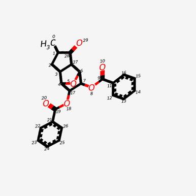 CC1CC2C3OC(C(OC(=O)c4ccccc4)C3OC(=O)c3ccccc3)C2C1=O